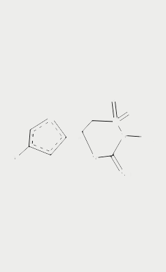 CN1C(=N)N[C@H](c2cc(Br)cs2)CS1(=O)=O